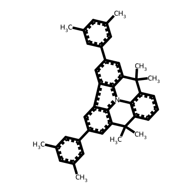 Cc1cc(C)cc(-c2cc3c4c(c2)c2cc(-c5cc(C)cc(C)c5)cc5c2n4-c2c(cccc2C5(C)C)C3(C)C)c1